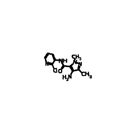 Cc1nn(C)c(C(=O)Nc2cccnc2Cl)c1N